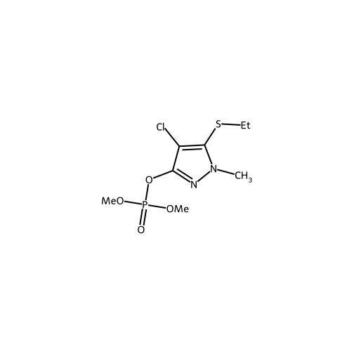 CCSc1c(Cl)c(OP(=O)(OC)OC)nn1C